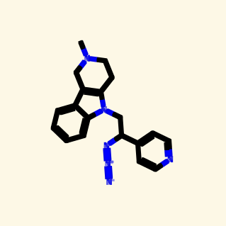 CN1CCc2c(c3ccccc3n2CC(N=[N+]=[N-])c2ccncc2)C1